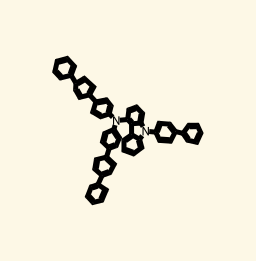 c1ccc(-c2ccc(-c3ccc(N(c4ccc(-c5ccc(-c6ccccc6)cc5)cc4)c4cccc5c4c4ccccc4n5-c4ccc(-c5ccccc5)cc4)cc3)cc2)cc1